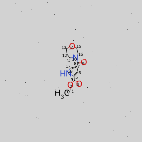 CCOC(=O)c1cc(C(=O)N2CCCOCC2)c[nH]1